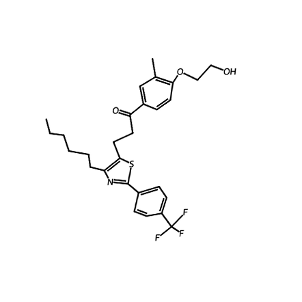 CCCCCCc1nc(-c2ccc(C(F)(F)F)cc2)sc1CCC(=O)c1ccc(OCCO)c(C)c1